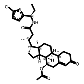 CC[C@@H](NC(=O)C[C@@H](C)[C@H]1CC[C@H]2[C@@H]3[C@H](OC(C)=O)CC4=CC(=O)CC[C@]4(C)[C@H]3CC[C@]12C)c1ccc(Cl)s1